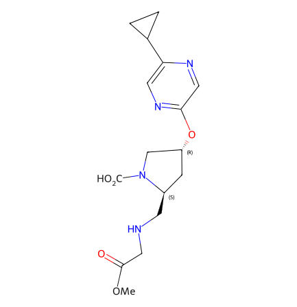 COC(=O)CNC[C@@H]1C[C@@H](Oc2cnc(C3CC3)cn2)CN1C(=O)O